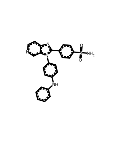 NS(=O)(=O)c1ccc(-c2nc3ccncc3n2-c2ccc(Nc3ccccc3)cc2)cc1